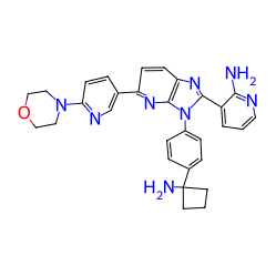 Nc1ncccc1-c1nc2ccc(-c3ccc(N4CCOCC4)nc3)nc2n1-c1ccc(C2(N)CCC2)cc1